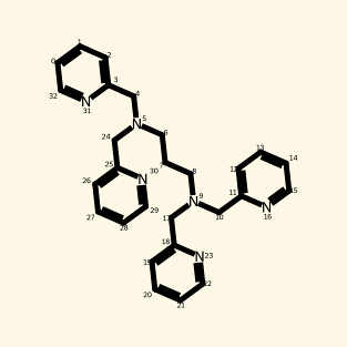 c1ccc(CN(CCCN(Cc2ccccn2)Cc2ccccn2)Cc2ccccn2)nc1